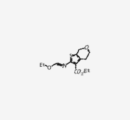 CCOC=Nc1sc2c(c1C(=O)OCC)CCOC2